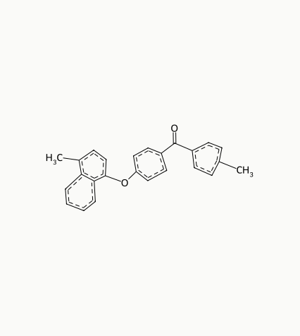 Cc1ccc(C(=O)c2ccc(Oc3ccc(C)c4ccccc34)cc2)cc1